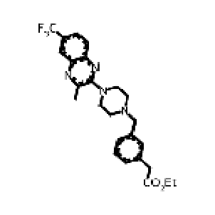 CCOC(=O)Cc1cccc(CN2CCN(c3nc4ccc(C(F)(F)F)cc4nc3C)CC2)c1